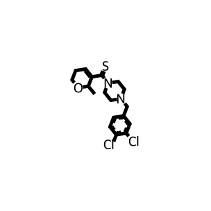 CC1OCCC=C1C(=S)N1CCN(Cc2ccc(Cl)c(Cl)c2)CC1